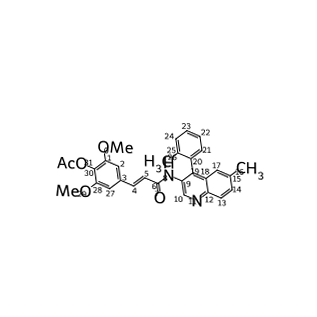 COc1cc(/C=C/C(=O)Nc2cnc3ccc(C)cc3c2-c2ccccc2C)cc(OC)c1OC(C)=O